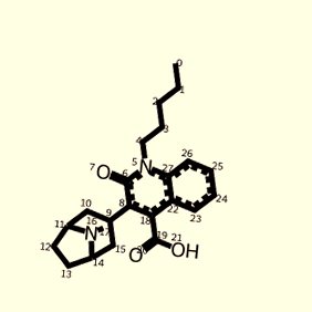 CCCCCn1c(=O)c(C2CC3CCC(C2)N3C)c(C(=O)O)c2ccccc21